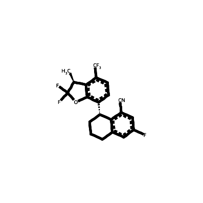 C[C@H]1c2c(C(F)(F)F)ccc([C@H]3CCCc4cc(F)cc(C#N)c43)c2OC1(F)F